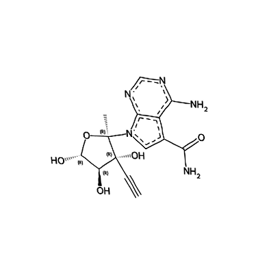 C#C[C@@]1(O)[C@@H](O)[C@H](O)O[C@@]1(C)n1cc(C(N)=O)c2c(N)ncnc21